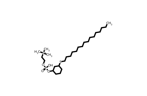 CCCCCCCCCCCCCCCCSC1CCCC(OP(=O)(O)OCC[N+](C)(C)C)C1